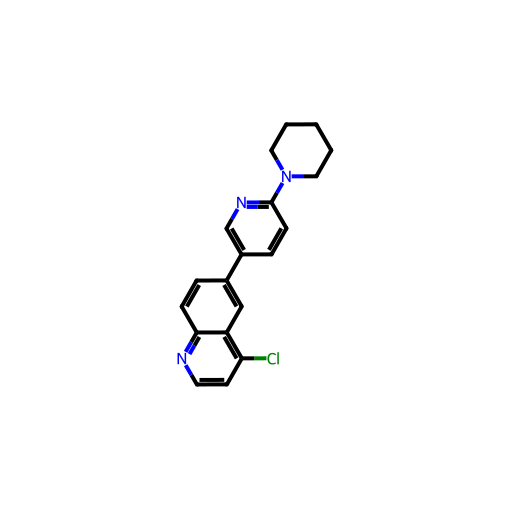 Clc1ccnc2ccc(-c3ccc(N4CCCCC4)nc3)cc12